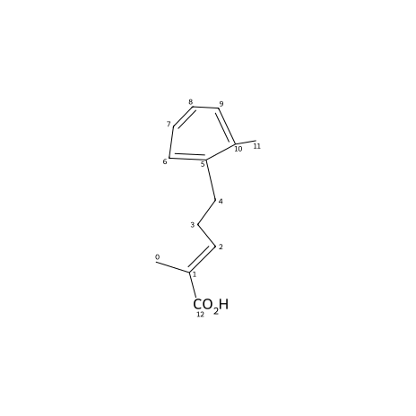 CC(=CCCc1ccccc1C)C(=O)O